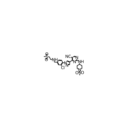 CS(=O)(=O)CCNCc1ccc(-n2cc(-c3nc(NC4CCN(S(C)(=O)=O)CC4)ncc3C#N)cn2)c(Cl)c1